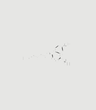 CCCCCOC(=O)c1ccc(C)cc1C(=O)OC